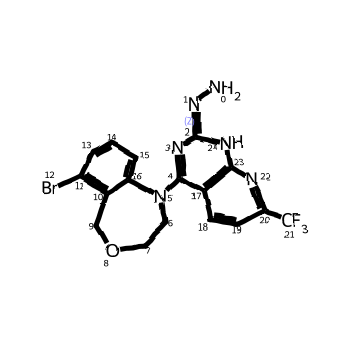 N/N=c1/nc(N2CCOCc3c(Br)cccc32)c2ccc(C(F)(F)F)nc2[nH]1